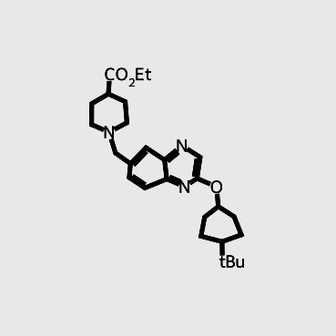 CCOC(=O)C1CCN(Cc2ccc3nc(OC4CCC(C(C)(C)C)CC4)cnc3c2)CC1